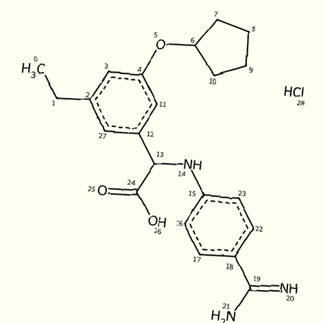 CCc1cc(OC2CCCC2)cc(C(Nc2ccc(C(=N)N)cc2)C(=O)O)c1.Cl